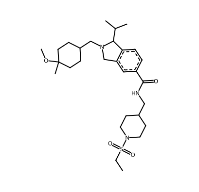 CCS(=O)(=O)N1CCC(CNC(=O)c2ccc3c(c2)CN(CC2CCC(C)(OC)CC2)C3C(C)C)CC1